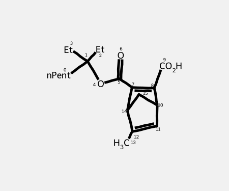 CCCCCC(CC)(CC)OC(=O)C1=C(C(=O)O)C2C=C(C)C1C2